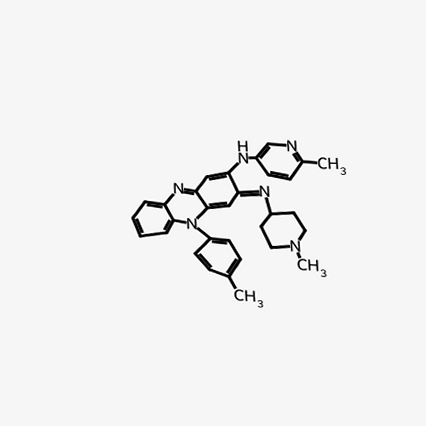 Cc1ccc(-n2c3cc(=NC4CCN(C)CC4)c(Nc4ccc(C)nc4)cc-3nc3ccccc32)cc1